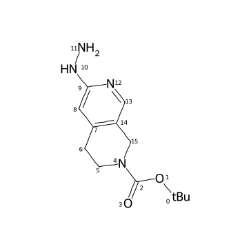 CC(C)(C)OC(=O)N1CCc2cc(NN)ncc2C1